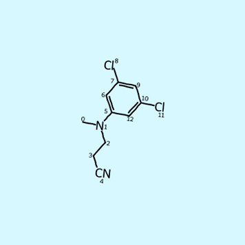 CN(CCC#N)c1cc(Cl)cc(Cl)c1